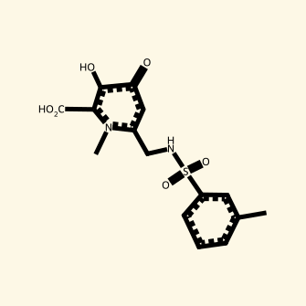 Cc1cccc(S(=O)(=O)NCc2cc(=O)c(O)c(C(=O)O)n2C)c1